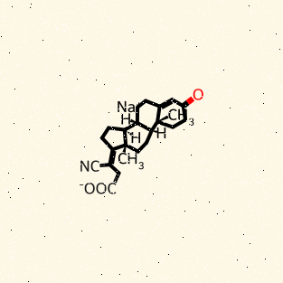 C[C@]12CCC(=O)C=C1CC[C@@H]1[C@@H]2CC[C@]2(C)C(=C(C#N)CC(=O)[O-])CC[C@@H]12.[Na+]